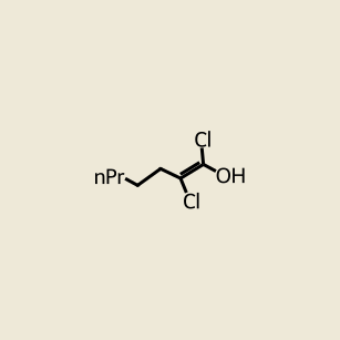 CCCCC/C(Cl)=C(/O)Cl